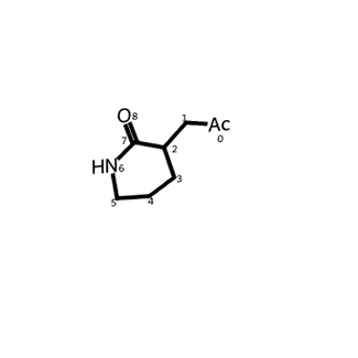 CC(=O)CC1CCCNC1=O